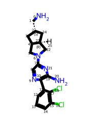 NC[C@H]1CC2CN(c3cnc(-c4cccc(Cl)c4Cl)c(N)n3)C[C@@H]2C1